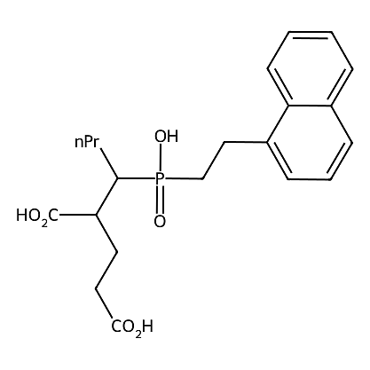 CCCC(C(CCC(=O)O)C(=O)O)P(=O)(O)CCc1cccc2ccccc12